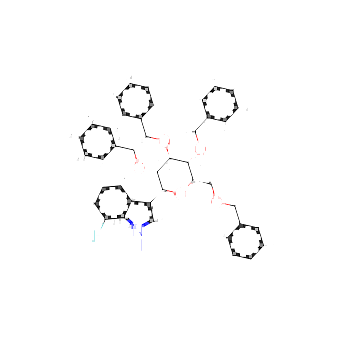 Fc1cccc2c([C@@H]3O[C@H](COCc4ccccc4)[C@@H](OCc4ccccc4)[C@H](OCc4ccccc4)[C@H]3OCc3ccccc3)c[nH]c12